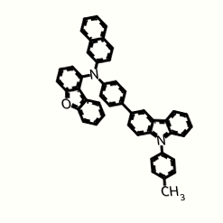 Cc1ccc(-n2c3ccccc3c3cc(-c4ccc(N(c5ccc6ccccc6c5)c5cccc6oc7ccccc7c56)cc4)ccc32)cc1